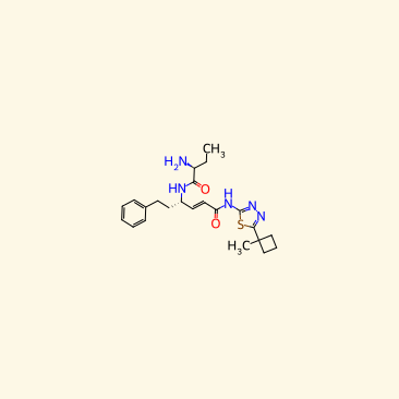 CC[C@H](N)C(=O)N[C@H](/C=C/C(=O)Nc1nnc(C2(C)CCC2)s1)CCc1ccccc1